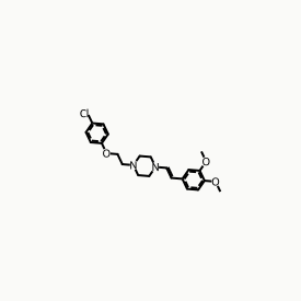 COc1ccc(C=CN2CCN(CCOc3ccc(Cl)cc3)CC2)cc1OC